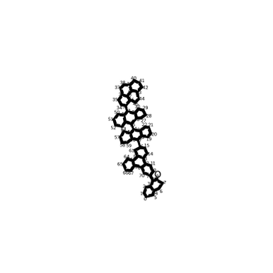 c1ccc2c(c1)ccc1oc3cc4c5ccc(-c6c7ccccc7c(-c7c8ccccc8c(-c8ccc9ccc%10cccc%11ccc8c9c%10%11)c8ccccc78)c7ccccc67)cc5c5ccccc5c4cc3c12